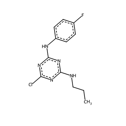 CCCNc1nc(Cl)nc(Nc2ccc(F)cc2)n1